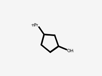 CC[CH]C1CCC(O)C1